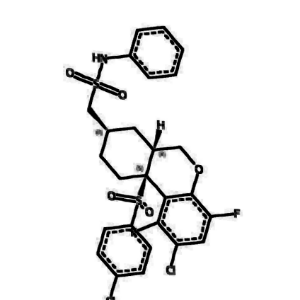 O=S(=O)(C[C@@H]1CC[C@@]2(S(=O)(=O)c3ccc(Cl)cc3)c3c(F)c(Cl)cc(F)c3OC[C@H]2C1)Nc1ccccc1